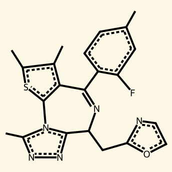 Cc1ccc(C2=NC(Cc3ncco3)c3nnc(C)n3-c3sc(C)c(C)c32)c(F)c1